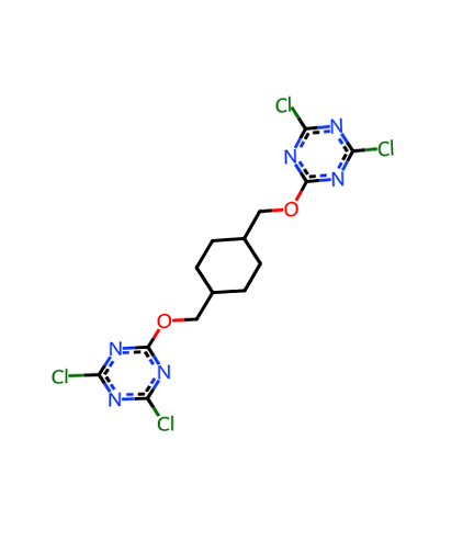 Clc1nc(Cl)nc(OCC2CCC(COc3nc(Cl)nc(Cl)n3)CC2)n1